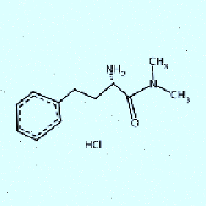 CN(C)C(=O)[C@@H](N)CCc1ccccc1.Cl